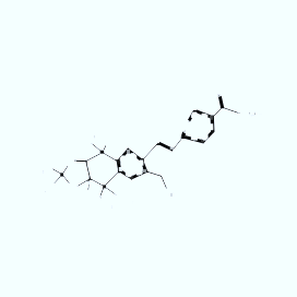 COC(=O)c1ccc(/C=C/c2cc3c(cc2CBr)C(C)(C)[C@@H]2OC(C)(C)O[C@H]2C3(C)C)cc1